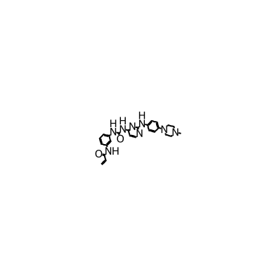 C=CC(=O)Nc1cccc(NC(=O)Nc2ccnc(Nc3ccc(N4CCN(C)CC4)cc3)n2)c1